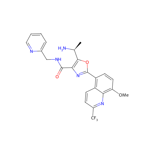 COc1ccc(-c2nc(C(=O)NCc3ccccn3)c([C@H](C)N)o2)c2ccc(C(F)(F)F)nc12